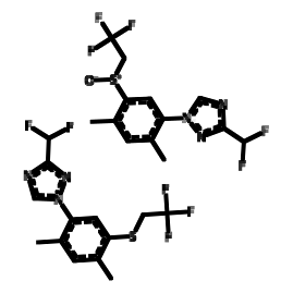 Cc1cc(C)c(-n2cnc(C(F)F)n2)cc1SCC(F)(F)F.Cc1cc(C)c([S+]([O-])CC(F)(F)F)cc1-n1cnc(C(F)F)n1